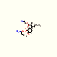 C=CC(N)=O.CCCC(=C(C)C(=O)OCCN)c1ccc(O)c(O)c1